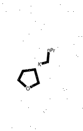 C1CCOC1.CCC[CH2][K]